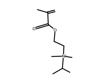 [CH2]C(C)[N+](C)(C)CCOC(=O)C(=C)C